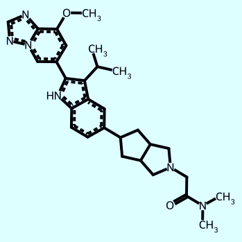 COc1cc(-c2[nH]c3ccc(C4CC5CN(CC(=O)N(C)C)CC5C4)cc3c2C(C)C)cn2ncnc12